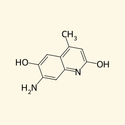 Cc1cc(O)nc2cc(N)c(O)cc12